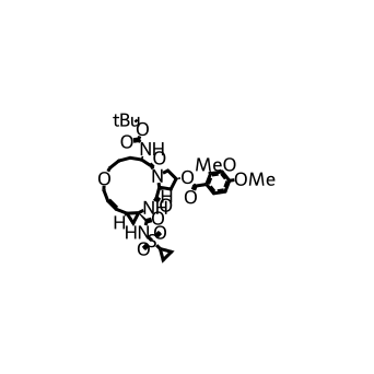 COc1ccc(C(=O)O[C@@H]2C[C@H]3C(=O)N[C@]4(C(=O)NS(=O)(=O)C5CC5)C[C@H]4/C=C\COCCC[C@H](NC(=O)OC(C)(C)C)C(=O)N3C2)c(OC)c1